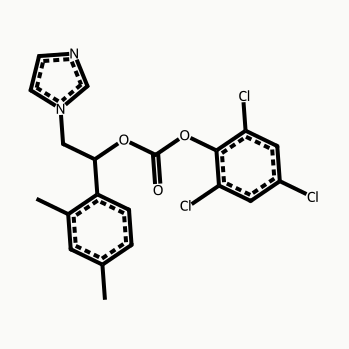 Cc1ccc(C(Cn2ccnc2)OC(=O)Oc2c(Cl)cc(Cl)cc2Cl)c(C)c1